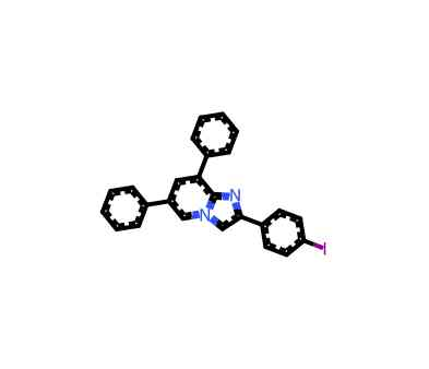 Ic1ccc(-c2cn3cc(-c4ccccc4)cc(-c4ccccc4)c3n2)cc1